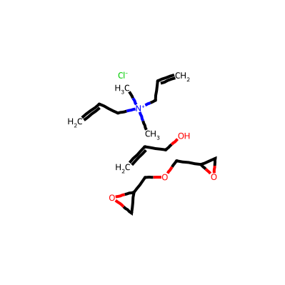 C(OCC1CO1)C1CO1.C=CCO.C=CC[N+](C)(C)CC=C.[Cl-]